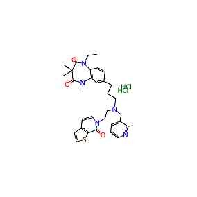 CCN1C(=O)C(C)(C)C(=O)N(C)c2cc(CCCN(CCn3ccc4ccsc4c3=O)Cc3cccnc3C)ccc21.Cl.Cl